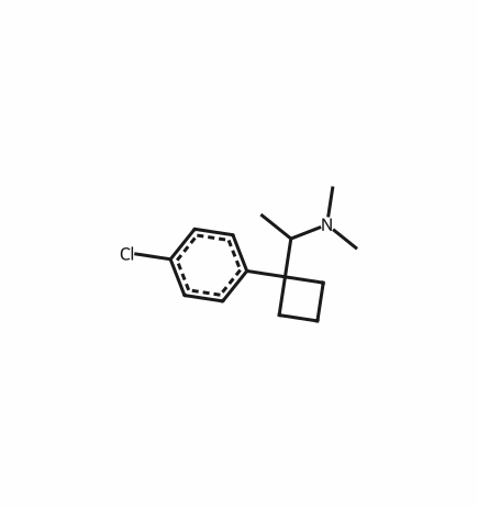 CC(N(C)C)C1(c2ccc(Cl)cc2)CCC1